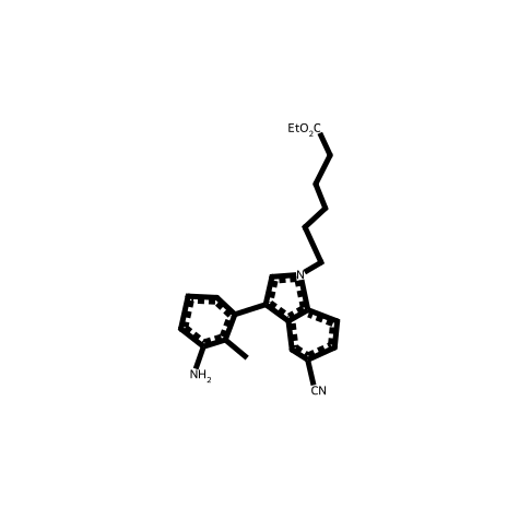 CCOC(=O)CCCCCn1cc(-c2cccc(N)c2C)c2cc(C#N)ccc21